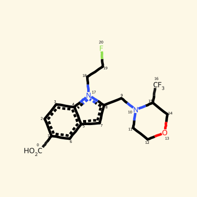 O=C(O)c1ccc2c(c1)cc(CN1CCOCC1C(F)(F)F)n2CCF